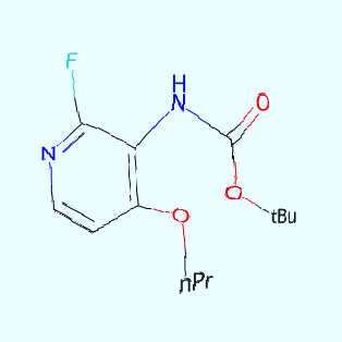 CCCOc1ccnc(F)c1NC(=O)OC(C)(C)C